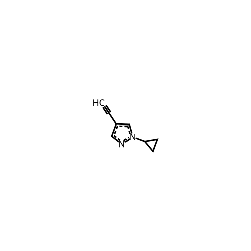 C#Cc1cnn(C2CC2)c1